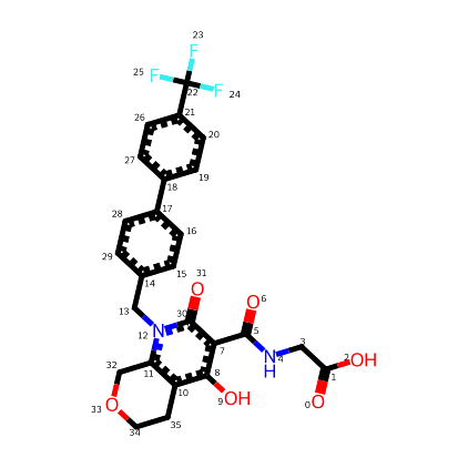 O=C(O)CNC(=O)c1c(O)c2c(n(Cc3ccc(-c4ccc(C(F)(F)F)cc4)cc3)c1=O)COCC2